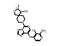 C[C@@H]1OCC2(CCN(c3ncc(Sc4ccnc(N)c4Cl)c4ncnn34)CC2)[C@@H]1O